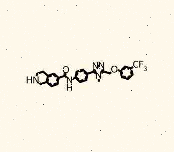 Cn1c(COc2cccc(C(F)(F)F)c2)nnc1-c1ccc(NC(=O)c2ccc3c(c2)CCNC3)cc1